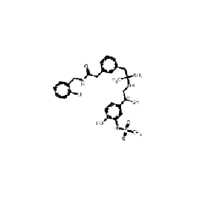 CC(C)(Cc1cccc(CC(=O)NCc2ccccc2Cl)c1)NC[C@@H](O)c1ccc(O)c(NS(C)(=O)=O)c1